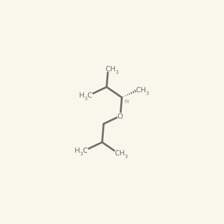 CC(C)CO[C@@H](C)C(C)C